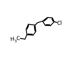 CCc1ccc([CH]c2ccc(Cl)cc2)cc1